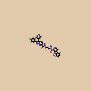 O=C(NCCCNC(=O)c1nccc2c1[nH]c1ccccc12)c1ccc2c(-c3ccncc3)c(-c3ccc(F)cc3)nn2c1